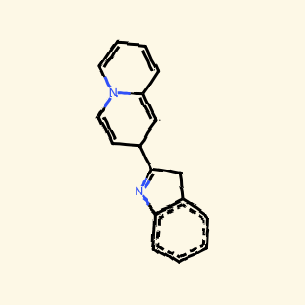 [C]1=C2C=CC=CN2C=CC1C1=Nc2ccccc2C1